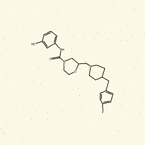 N#Cc1cccc(NC(=O)N2CCOC(CN3CCC(Cc4ccc(F)cc4)CC3)C2)c1